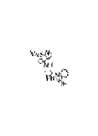 CSc1ncccc1C(=O)NC[C@H]1CC[C@@H](Nc2nc3c(c(N(C)C)n2)CCCC3)CC1